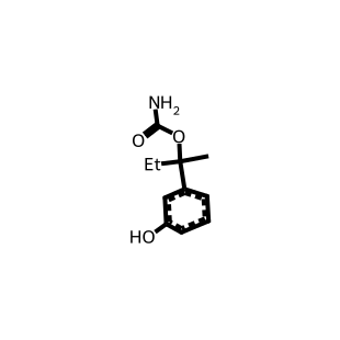 CCC(C)(OC(N)=O)c1cccc(O)c1